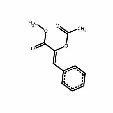 COC(=O)C(=Cc1ccccc1)OC(C)=O